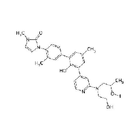 Cc1cc(-c2ccnc(N(CCO)CC(C)OI)c2)c(O)c(-c2ccc(-n3ccn(C)c3=O)c(C)c2)c1